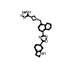 c1ccc2c(-c3noc(-c4ccc5cc[nH]c5c4)n3)ccc(CN3CC(c4nnn[nH]4)C3)c2c1